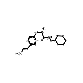 CC[C@@H](Nc1cnc(C=CC(=O)O)cn1)C(=O)NCC1CCCCC1